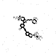 C[C@H]1COCCN1CCCn1nc(-c2ccc(Cl)c(C#Cc3ccc4c(c3)CN(C(=O)OC(C)(C)C)CC4)c2)c2c1CCN(S(C)(=O)=O)C2